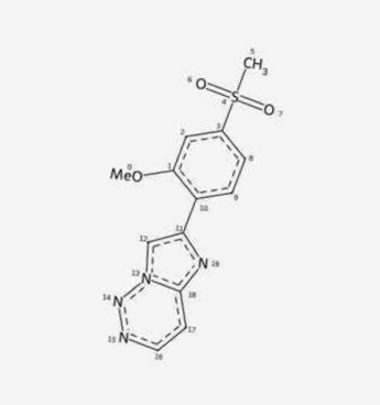 COc1cc(S(C)(=O)=O)ccc1-c1cn2nnccc2n1